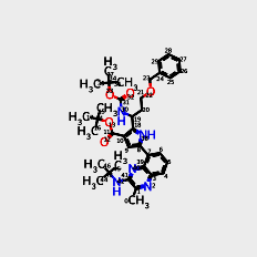 Cc1nc2cccc(-c3cc(C(=O)OC(C)(C)C)c(C(CCOCc4ccccc4)NC(=O)OC(C)(C)C)[nH]3)c2nc1NC(C)(C)C